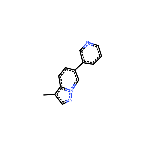 Cc1cnn2cc(-c3cccnc3)ccc12